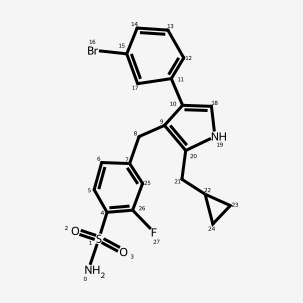 NS(=O)(=O)c1ccc(Cc2c(-c3cccc(Br)c3)c[nH]c2CC2CC2)cc1F